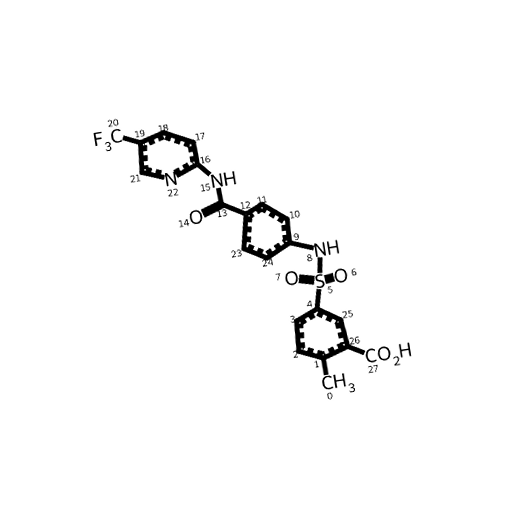 Cc1ccc(S(=O)(=O)Nc2ccc(C(=O)Nc3ccc(C(F)(F)F)cn3)cc2)cc1C(=O)O